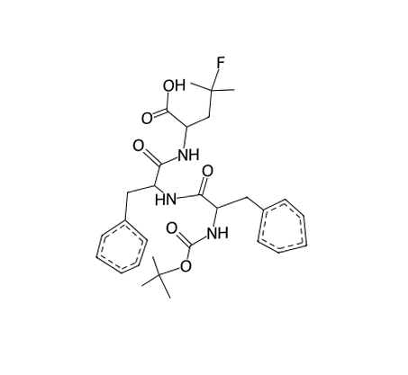 CC(C)(F)CC(NC(=O)C(Cc1ccccc1)NC(=O)C(Cc1ccccc1)NC(=O)OC(C)(C)C)C(=O)O